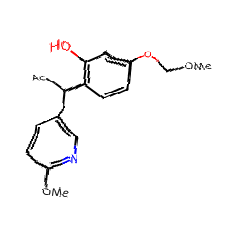 COCOc1ccc(C(C(C)=O)c2ccc(OC)nc2)c(O)c1